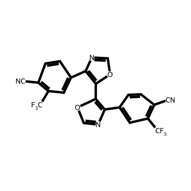 N#Cc1ccc(-c2ncoc2-c2ocnc2-c2ccc(C#N)c(C(F)(F)F)c2)cc1C(F)(F)F